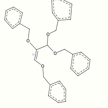 C(/OCc1ccccc1)=C(\OCc1ccccc1)[C](OCc1ccccc1)OCc1ccccc1